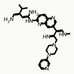 CN/C=C(\C(=N)CN1CCN(c2cccnc2)CC1)c1cnc2ccc(N/C(N)=C/C(=C\N)C(C)C)nc2c1